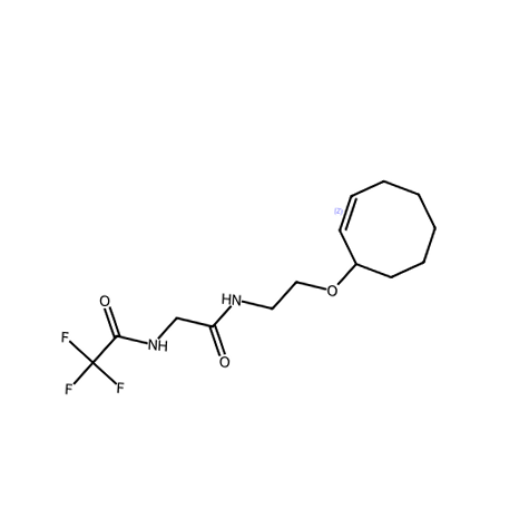 O=C(CNC(=O)C(F)(F)F)NCCOC1/C=C\CCCCC1